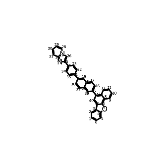 c1ccc2c(c1)oc1c3ccccc3c(-c3ccc4cc(-c5ccc(-c6cn7ccccc7n6)cc5)ccc4c3)cc21